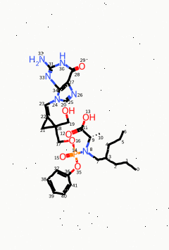 CCCC(CCC)CN([C@@H](C)C(=O)O)[P@](=O)(OCC1(CO)C/C1=C/n1cnc2c(=O)[nH]c(N)nc21)Oc1ccccc1